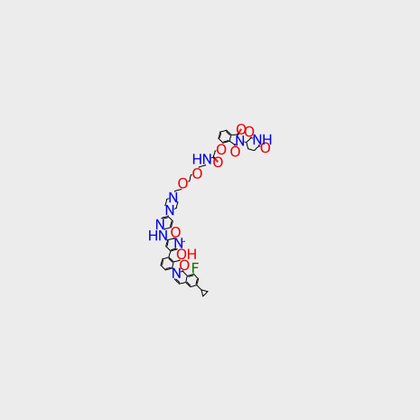 Cn1cc(-c2cccc(-n3ccc4cc(C5CC5)cc(F)c4c3=O)c2CO)cc(Nc2ccc(N3CCN(CCOCCOCCNC(=O)COc4cccc5c4C(=O)N(C4CCC(=O)NC4=O)C5=O)CC3)cn2)c1=O